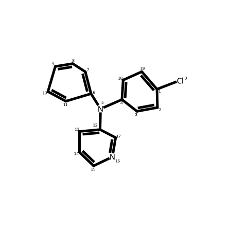 Clc1ccc(N(c2ccccc2)c2cccnc2)cc1